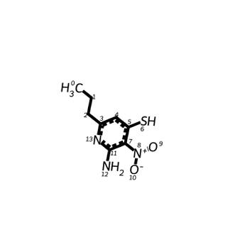 CCCc1cc(S)c([N+](=O)[O-])c(N)n1